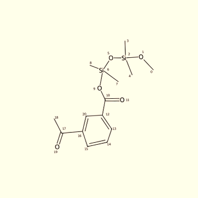 CO[Si](C)(C)O[Si](C)(C)OC(=O)c1cccc(C(C)=O)c1